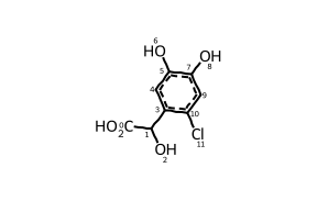 O=C(O)C(O)c1cc(O)c(O)cc1Cl